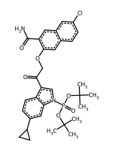 CC(C)(C)OP(=O)(OC(C)(C)C)n1cc(C(=O)COc2cc3ccc(Cl)cc3cc2C(N)=O)c2ccc(C3CC3)cc21